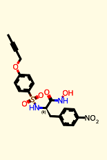 CC#CCOc1ccc(S(=O)(=O)N[C@H](Cc2ccc([N+](=O)[O-])cc2)C(=O)NO)cc1